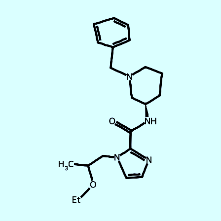 CCOC(C)Cn1ccnc1C(=O)N[C@@H]1CCCN(Cc2ccccc2)C1